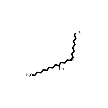 CCCCCCCC/C=C\CCCC(O)CCCCCCCCC